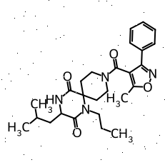 CCCN1C(=O)C(CC(C)C)NC(=O)C12CCN(C(=O)c1c(-c3ccccc3)noc1C)CC2